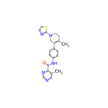 CC1=C(c2ccc(NC(=O)c3ncncc3C)cc2)CN(c2nccs2)CC1